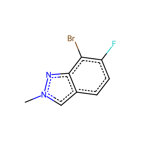 Cn1cc2ccc(F)c(Br)c2n1